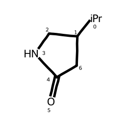 CC(C)C1CNC(=O)C1